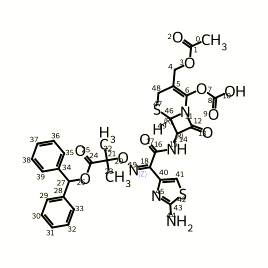 CC(=O)OCC1=C(OC(=O)O)N2C(=O)[C@@H](NC(=O)/C(=N\OC(C)(C)C(=O)OC(c3ccccc3)c3ccccc3)c3csc(N)n3)[C@H]2SC1